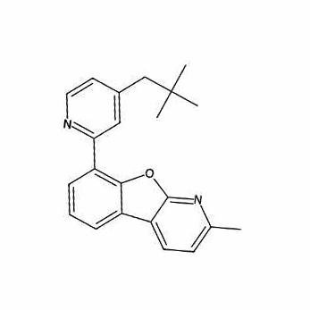 Cc1ccc2c(n1)oc1c(-c3cc(CC(C)(C)C)ccn3)cccc12